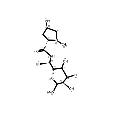 CCC[C@@H]1C[C@@H](C(=O)N[C@H](CC)[C@H]2OC(SC)[C@H](O)C(O)C2O)N(C)C1